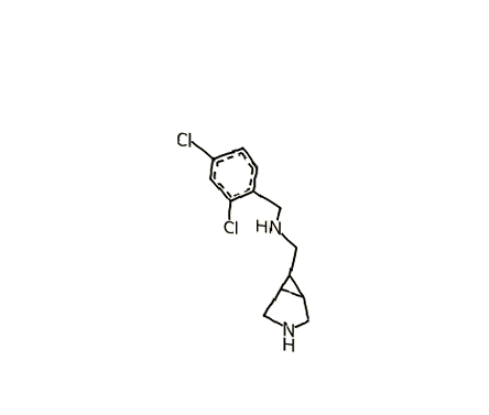 Clc1ccc(CNCC2C3CNCC23)c(Cl)c1